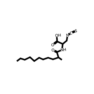 CCCCCCCCCC(C)C(=O)NC(CN=C=S)C(=O)O